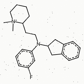 C[N+]1(C)CCCCC1CCN(c1cccc(F)c1)C1Cc2ccccc2C1